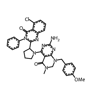 COc1ccc(CN2CN(C)C(=O)c3c2nc(N)nc3N2CCCC2c2nc3cccc(Cl)c3c(=O)n2-c2ccccc2)cc1